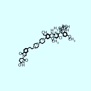 [2H]C([2H])([2H])N(c1cc(OC)ccc1Nc1nc(Nc2cc(CC)c(N3CCC(N4CCN(CCc5ccc6c(c5)CN(C5CCC(=O)NC5=O)C6=O)CC4)CC3)cc2OC)ncc1Cl)S(C)(=O)=O